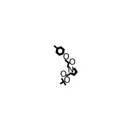 Cc1ccc(OCC(=O)Cn2cccc2C(=O)OC(C)(C)C)cc1